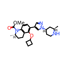 COC(=O)N1c2ccc(-c3cnn([C@@H]4CCN[C@H](C)C4)c3)c(OC3CCC3)c2CC[C@@H]1C